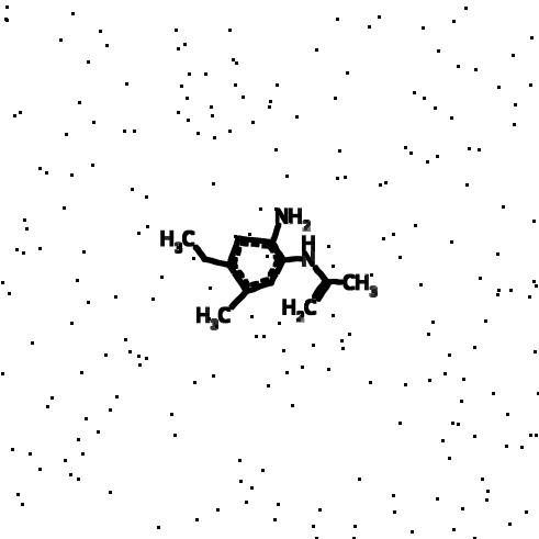 C=C(C)Nc1cc(C)c(CC)cc1N